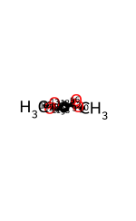 CCOCC(C=O)c1ccc(CC(=O)OCC)cc1